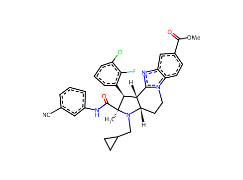 COC(=O)c1ccc2c(c1)nc1n2CC[C@H]2[C@@H]1[C@H](c1cccc(Cl)c1F)[C@](C)(C(=O)Nc1cccc(C#N)c1)N2CC1CC1